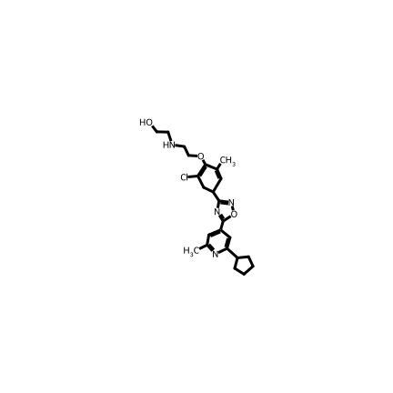 CC1=CC(c2noc(-c3cc(C)nc(C4CCCC4)c3)n2)CC(Cl)=C1OCCNCCO